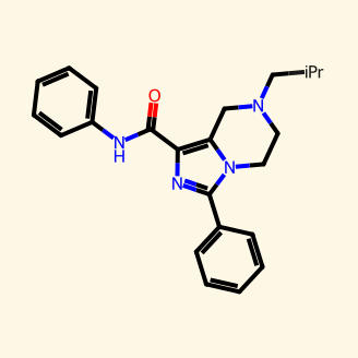 CC(C)CN1CCn2c(-c3ccccc3)nc(C(=O)Nc3ccccc3)c2C1